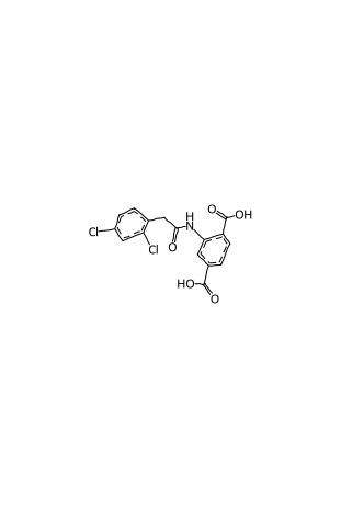 O=C(Cc1ccc(Cl)cc1Cl)Nc1cc(C(=O)O)ccc1C(=O)O